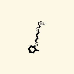 CC1CC=CC=C1SCCCCSCC(C)(C)C